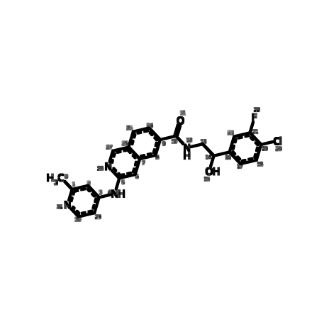 Cc1cc(Nc2cc3cc(C(=O)NCC(O)c4ccc(Cl)c(F)c4)ccc3cn2)ccn1